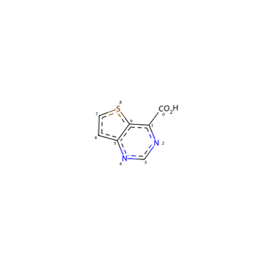 O=C(O)c1ncnc2ccsc12